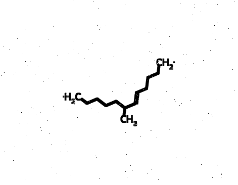 [CH2]CCCC=CC(C)CCCC[CH2]